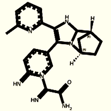 Cc1cccc(C2=C(c3ccc(=N)n(C(=N)C(N)=O)c3)N3C(N2)[C@@H]2CC[C@@H]3C2)n1